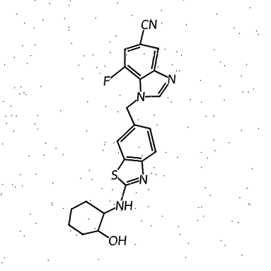 N#Cc1cc(F)c2c(c1)ncn2Cc1ccc2nc(NC3CCCCC3O)sc2c1